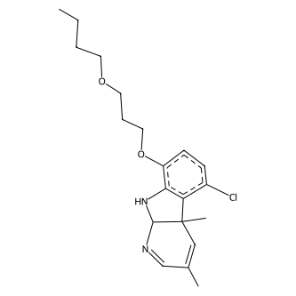 CCCCOCCCOc1ccc(Cl)c2c1NC1N=CC(C)=CC21C